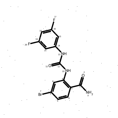 NC(=O)c1ccc(Br)cc1NC(=O)Nc1cc(F)cc(F)c1